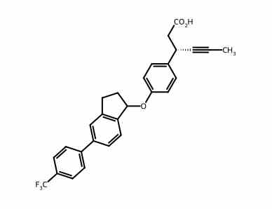 CC#C[C@@H](CC(=O)O)c1ccc(OC2CCc3cc(-c4ccc(C(F)(F)F)cc4)ccc32)cc1